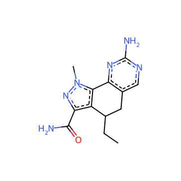 CCC1Cc2cnc(N)nc2-c2c1c(C(N)=O)nn2C